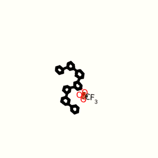 O=S(=O)(Oc1cc(-c2cccc(-c3cccc(-c4ccccc4)c3)c2)cc(-c2cccc(-c3cccc(-c4ccccc4)c3)c2)c1)C(F)(F)F